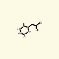 CCC(CC)CB1NBNBN1